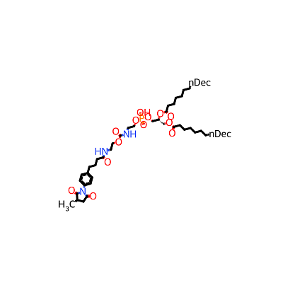 CCCCCCCCCCCCCCCCC(=O)OC[C@H](COP(=O)(O)OCCNC(=O)OCCNC(=O)CCCc1ccc(N2C(=O)CC(C)C2=O)cc1)OC(=O)CCCCCCCCCCCCCCCC